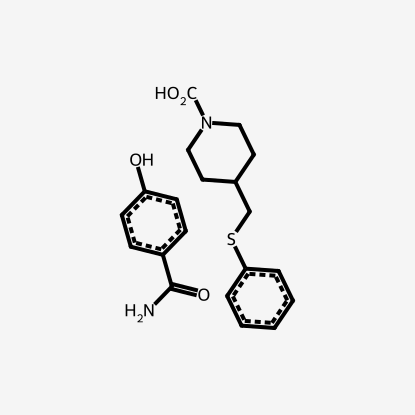 NC(=O)c1ccc(O)cc1.O=C(O)N1CCC(CSc2ccccc2)CC1